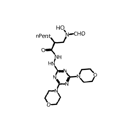 CCCCCC(CN(O)C=O)C(=O)NNc1nc(N2CCOCC2)nc(N2CCOCC2)n1